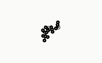 c1ccc(-c2c3ccccc3c(-c3cc4cc(-c5c6ccccc6c(-c6ccc7oc8cc9ccccc9cc8c7c6)c6ccccc56)c5sc6ccccc6c5c4c4c3sc3ccccc34)c3ccccc23)cc1